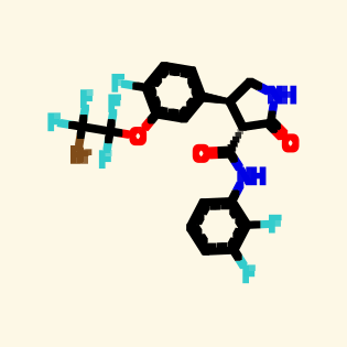 O=C1NC[C@H](c2ccc(F)c(OC(F)(F)C(F)(F)Br)c2)[C@H]1C(=O)Nc1cccc(F)c1F